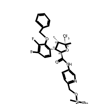 C[C@H]1[C@@H](c2ccc(F)c(F)c2OCc2ccccc2)[C@H](C(=O)Nc2ccc(CO[Si](C)(C)C(C)(C)C)nc2)O[C@@]1(C)C(F)(F)F